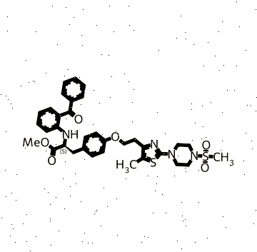 COC(=O)[C@H](Cc1ccc(OCCc2nc(N3CCN(S(C)(=O)=O)CC3)sc2C)cc1)Nc1ccccc1C(=O)c1ccccc1